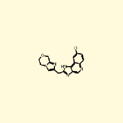 Clc1ccc2ncc3nc(Cc4cn5c(n4)COCC5)[nH]c3c2c1